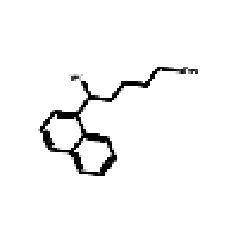 CCCCCCCCCCCCCCC(CCC)c1cccc2ccccc12